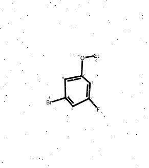 CCOc1[c]c(F)cc(Br)c1